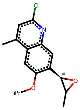 Cc1cc(Cl)nc2cc([C@H]3OC3C)c(OC(C)C)cc12